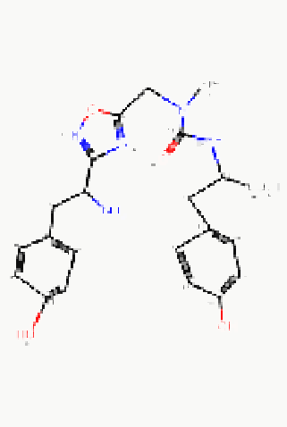 CCCN(Cc1nc(C(N)Cc2ccc(O)cc2)no1)C(=O)NC(Cc1ccc(O)cc1)C(=O)O